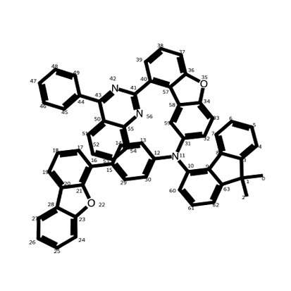 CC1(C)c2ccccc2-c2c(N(c3ccc(-c4cccc5c4oc4ccccc45)cc3)c3ccc4oc5cccc(-c6nc(-c7ccccc7)c7ccccc7n6)c5c4c3)cccc21